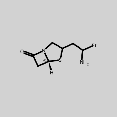 CCC(N)CC1CN2C(=O)C[C@H]2S1